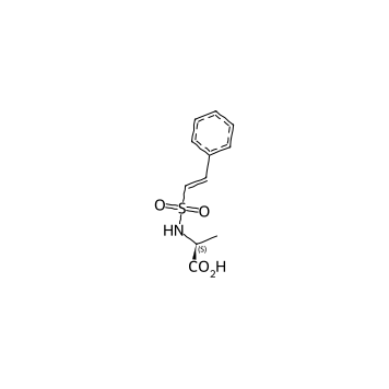 C[C@H](NS(=O)(=O)C=Cc1ccccc1)C(=O)O